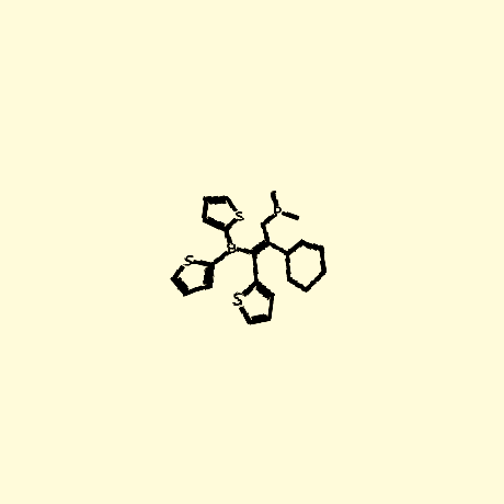 CP(C)C/C(=C(\B(c1cccs1)c1cccs1)c1cccs1)C1CCCCC1